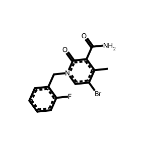 Cc1c(Br)cn(Cc2ccccc2F)c(=O)c1C(N)=O